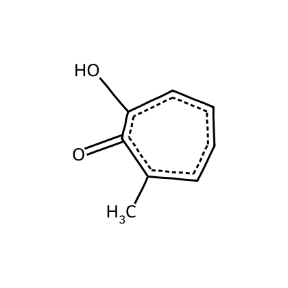 Cc1ccccc(O)c1=O